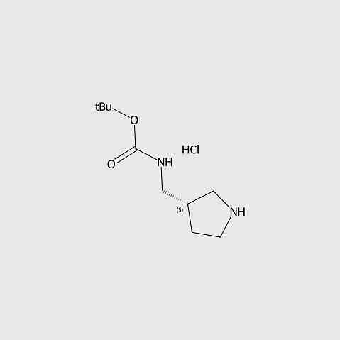 CC(C)(C)OC(=O)NC[C@H]1CCNC1.Cl